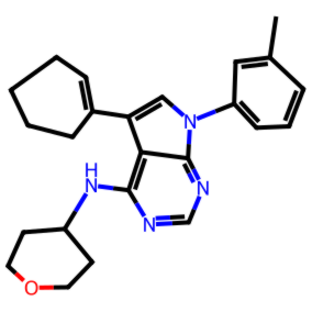 Cc1cccc(-n2cc(C3=CCCCC3)c3c(NC4CCOCC4)ncnc32)c1